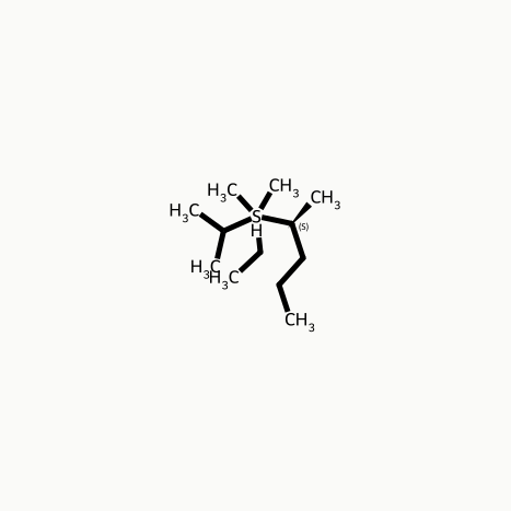 CCC[C@H](C)[SH](C)(C)(CC)C(C)C